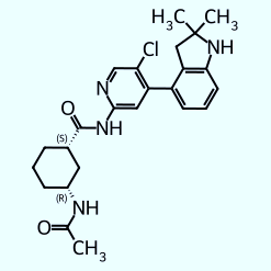 CC(=O)N[C@@H]1CCC[C@H](C(=O)Nc2cc(-c3cccc4c3CC(C)(C)N4)c(Cl)cn2)C1